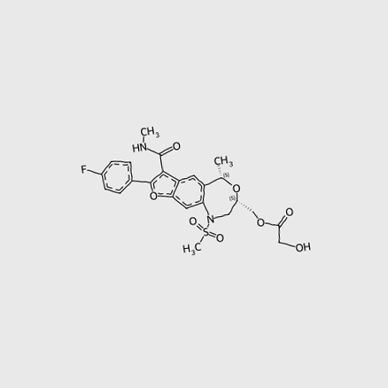 CNC(=O)c1c(-c2ccc(F)cc2)oc2cc3c(cc12)[C@H](C)O[C@H](COC(=O)CO)CN3S(C)(=O)=O